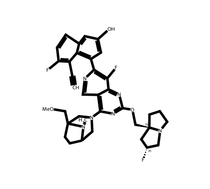 C#Cc1c(F)ccc2cc(O)cc(-c3ncc4c(N5CC6CCC(COC)(C5)N6C)nc(OC[C@@]56CCCN5C[C@H](F)C6)nc4c3F)c12